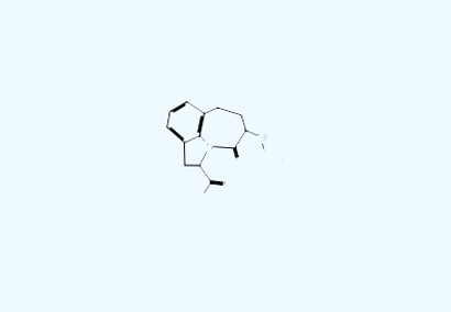 CNC1CCc2cccc3c2N(C1=O)C(C(C)=O)C3